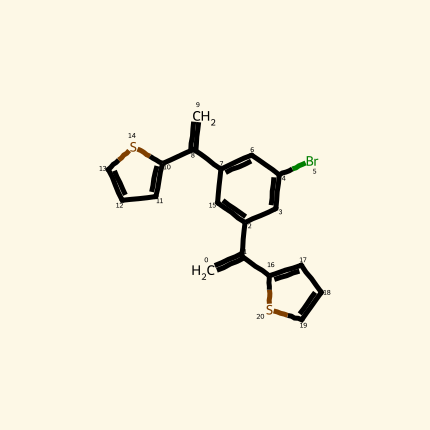 C=C(c1cc(Br)cc(C(=C)c2cccs2)c1)c1cccs1